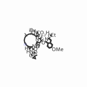 CCOc1cc2cc(OC)ccc2c(O[C@]2(C)C[C@H]3C(=O)N[C@]4(C(=O)NS(=O)(=O)C5(C)CC5)C[C@H]4/C=C\CC[C@@H](C)C[C@@H](C)[C@H](N(C(=O)O)C(C)CC)C(=O)N3C2(F)F)n1